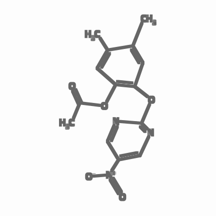 CC(=O)Oc1cc(C)c(C)cc1Oc1ncc([N+](=O)[O-])cn1